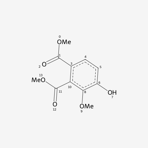 COC(=O)c1ccc(O)c(OC)c1C(=O)OC